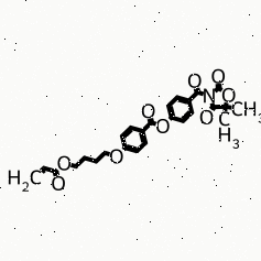 C=CC(=O)OCCCCOc1ccc(C(=O)Oc2ccc(C(=O)N3C(=O)OC(C)(C)C3=O)cc2)cc1